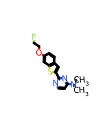 CN(C)c1ccnc(-c2cc3ccc(OCCF)cc3s2)n1